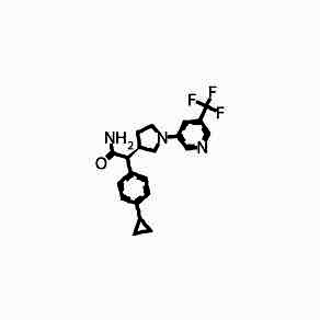 NC(=O)C(c1ccc(C2CC2)cc1)[C@H]1CCN(c2cncc(C(F)(F)F)c2)C1